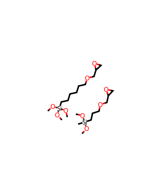 CO[Si](C)(CCCOCC1CO1)OC.CO[Si](CCCCCCOCC1CO1)(OC)OC